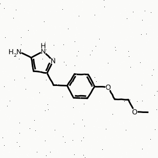 COCCOc1ccc(Cc2cc(N)[nH]n2)cc1